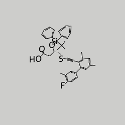 Cc1cc(C)c(C#CSC[C@H](CC(=O)O)O[Si](c2ccccc2)(c2ccccc2)C(C)(C)C)c(-c2ccc(F)c(C)c2)c1